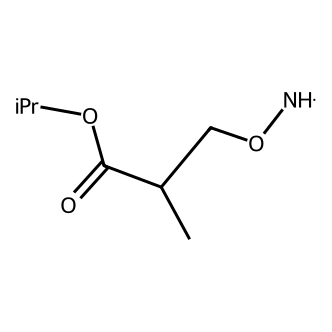 CC(C)OC(=O)C(C)CO[NH]